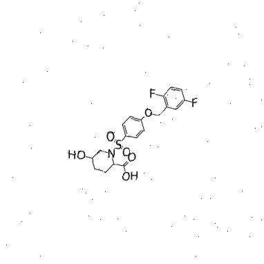 O=C(O)C1CCC(O)CN1S(=O)(=O)c1ccc(OCc2cc(F)ccc2F)cc1